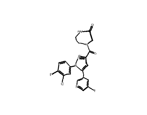 O=C1CN(C(=O)c2cc(-c3cncc(F)c3)n(-c3ccc(F)c(Cl)c3)n2)CCN1